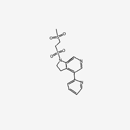 CS(=O)(=O)CCS(=O)(=O)N1CCc2c(-c3ccccn3)cncc21